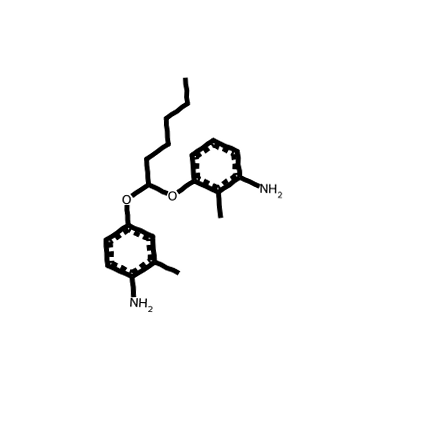 CCCCCC(Oc1ccc(N)c(C)c1)Oc1cccc(N)c1C